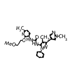 COCCOc1nc(C)ccc1NC(=O)Nc1c(C)c(-c2cnn(C)c2)nn1-c1ccccc1